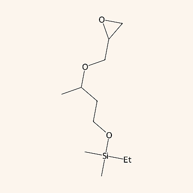 CC[Si](C)(C)OCCC(C)OCC1CO1